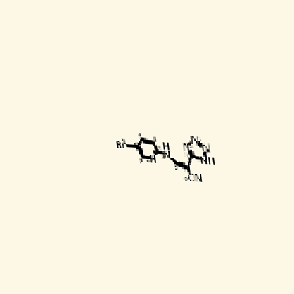 N#CC(=CNc1ccc(Br)cn1)c1nnn[nH]1